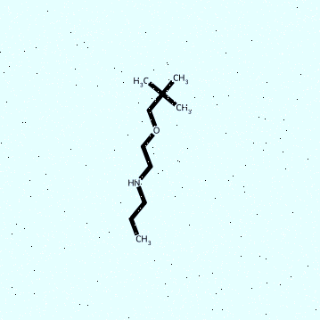 CCCNCCOCC(C)(C)C